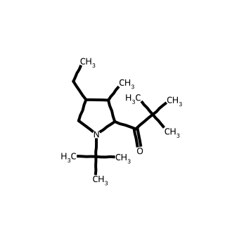 CCC1CN(C(C)(C)C)C(C(=O)C(C)(C)C)C1C